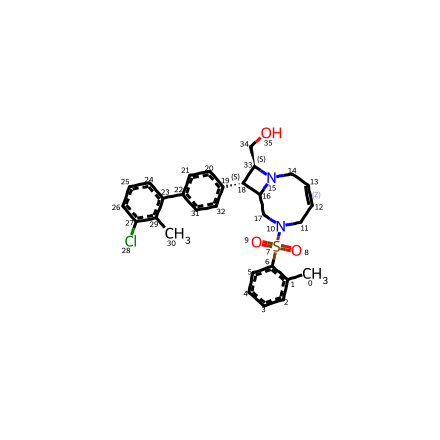 Cc1ccccc1S(=O)(=O)N1C/C=C\CN2C(C1)[C@H](c1ccc(-c3cccc(Cl)c3C)cc1)[C@H]2CO